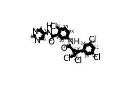 O=C(Nc1cncnc1)c1cc(NC(=O)C2C(c3cc(Cl)cc(Cl)c3)C2(Cl)Cl)ccc1Cl